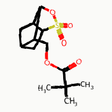 CC(C)(C)C(=O)OCC1C2CC3C1OS(=O)(=O)C3C2